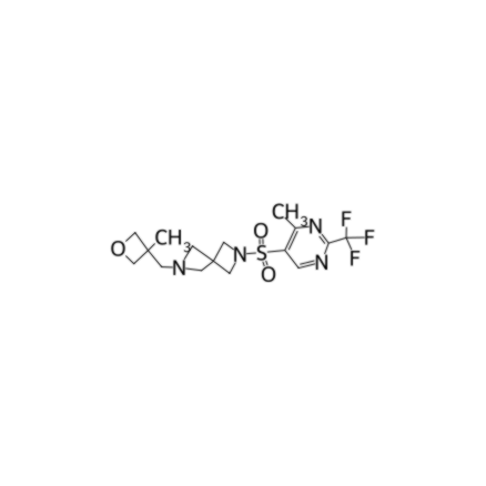 Cc1nc(C(F)(F)F)ncc1S(=O)(=O)N1CC2(CN(CC3(C)COC3)C2)C1